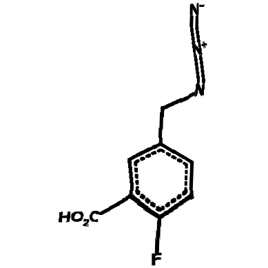 [N-]=[N+]=NCc1ccc(F)c(C(=O)O)c1